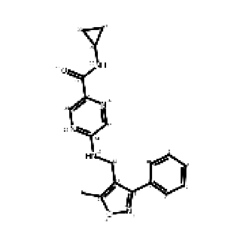 Cc1onc(-c2ccccc2)c1CNc1cnc(C(=O)NC2CC2)cn1